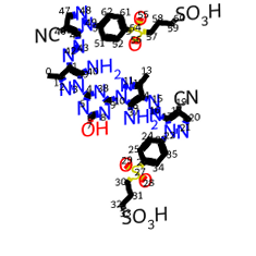 Cc1nn(-c2nc(O)nc(-n3nc(C)c(N=Nc4c(C#N)cnn4-c4ccc(S(=O)(=O)CCCS(=O)(=O)O)cc4)c3N)n2)c(N)c1N=Nc1c(C#N)cnn1-c1ccc(S(=O)(=O)CCCS(=O)(=O)O)cc1